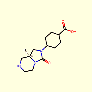 O=C(O)C1CCC(N2C[C@@H]3CNCCN3C2=O)CC1